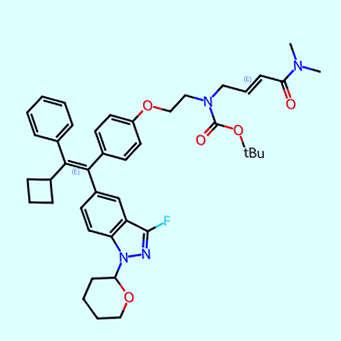 CN(C)C(=O)/C=C/CN(CCOc1ccc(/C(=C(\c2ccccc2)C2CCC2)c2ccc3c(c2)c(F)nn3C2CCCCO2)cc1)C(=O)OC(C)(C)C